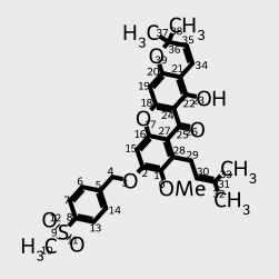 COc1c(OCc2ccc(S(C)(=O)=O)cc2)cc2oc3cc4c(c(O)c3c(=O)c2c1CC=C(C)C)C=CC(C)(C)O4